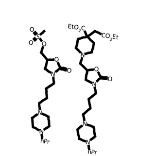 CCCN1CCN(CCCCN2CC(CN3CCC(CC(=O)OCC)(C(=O)OCC)CC3)OC2=O)CC1.CCCN1CCN(CCCCN2CC(COS(C)(=O)=O)OC2=O)CC1